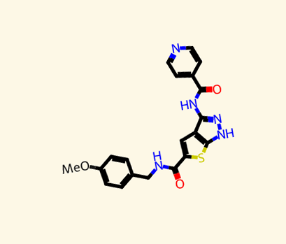 COc1ccc(CNC(=O)c2cc3c(NC(=O)c4ccncc4)n[nH]c3s2)cc1